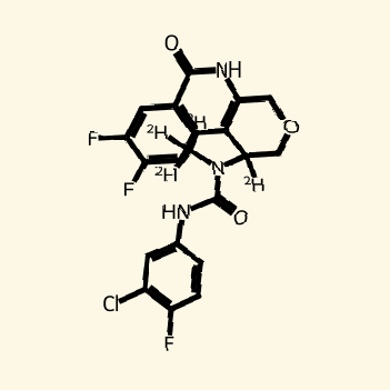 [2H]C([2H])([2H])N(C(=O)Nc1ccc(F)c(Cl)c1)C1([2H])COCc2[nH]c(=O)c3cc(F)c(F)cc3c21